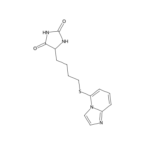 O=C1NC(=O)C(CCCCSc2cccc3nccn23)N1